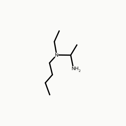 CCCCN(CC)C(C)N